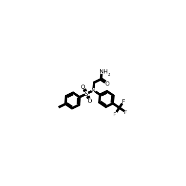 Cc1ccc(S(=O)(=O)N(CC(N)=O)c2ccc(C(F)(F)F)cc2)cc1